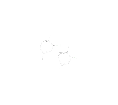 Cc1ccc(C)c(Cl)c1.Cc1ccc(C)c(Cl)c1.O